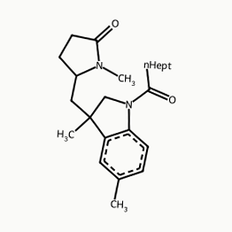 CCCCCCCC(=O)N1CC(C)(CC2CCC(=O)N2C)c2cc(C)ccc21